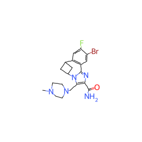 CN1CCN(Cc2c(C(N)=O)nc3n2C2CC(C2)c2cc(F)c(Br)cc2-3)CC1